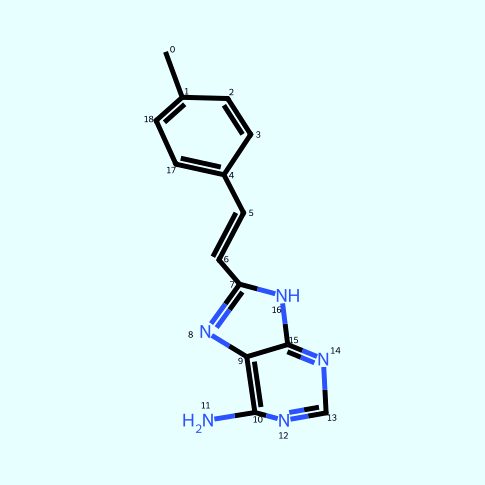 Cc1ccc(C=Cc2nc3c(N)ncnc3[nH]2)cc1